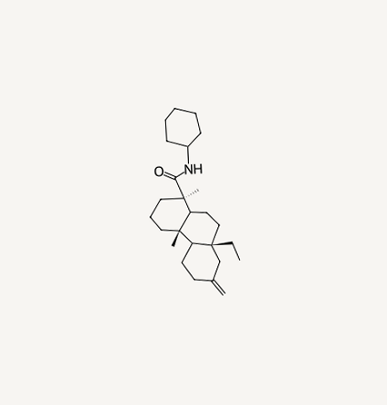 C=C1CCC2[C@](CC)(CCC3[C@@]2(C)CCC[C@@]3(C)C(=O)NC2CCCCC2)C1